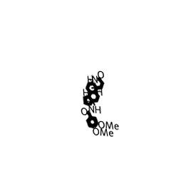 COc1ccc(C(=O)NC2CC[C@H]3[C@@H]4CC[C@H]5N(C)C(=O)CC[C@]5(C)[C@H]4CC[C@]23C)cc1OC